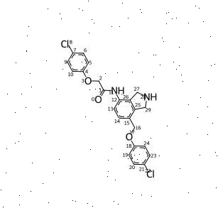 O=C(COc1ccc(Cl)cc1)Nc1ccc(COc2ccc(Cl)cc2)c2c1CNC2